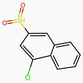 O=[SH](=O)c1cc(Cl)c2ccccc2c1